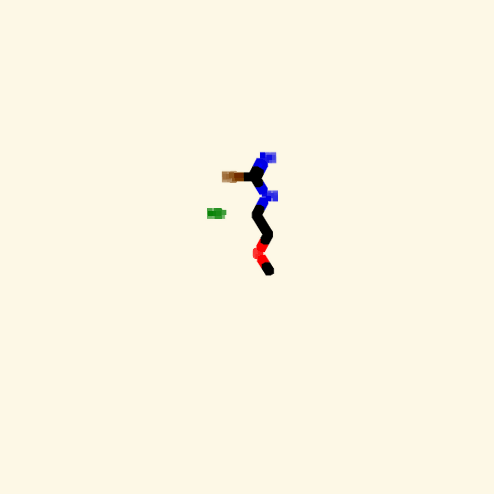 Br.COCCNC(=N)S